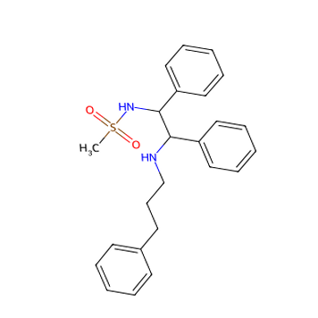 CS(=O)(=O)NC(c1ccccc1)C(NCCCc1ccccc1)c1ccccc1